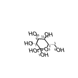 OC[C@@H]1OC(O)(O)[C@H](O)[C@H](O)[C@H]1O